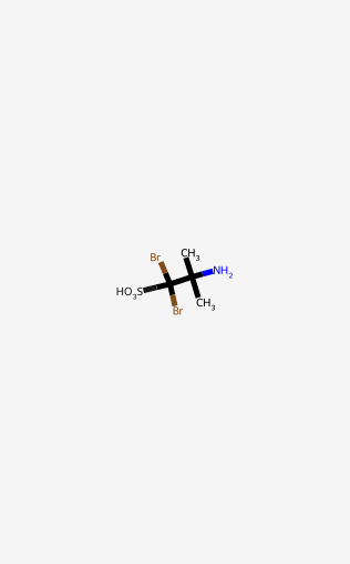 CC(C)(N)C(Br)(Br)S(=O)(=O)O